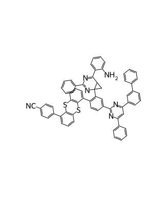 N#Cc1ccc(-c2cccc3c2Sc2cccc(-c4ccc(-c5nc(-c6ccccc6)cc(-c6cccc(-c7ccccc7)c6)n5)cc4C45CC4C(c4ccccc4N)=NC(c4ccccc4)=N5)c2S3)cc1